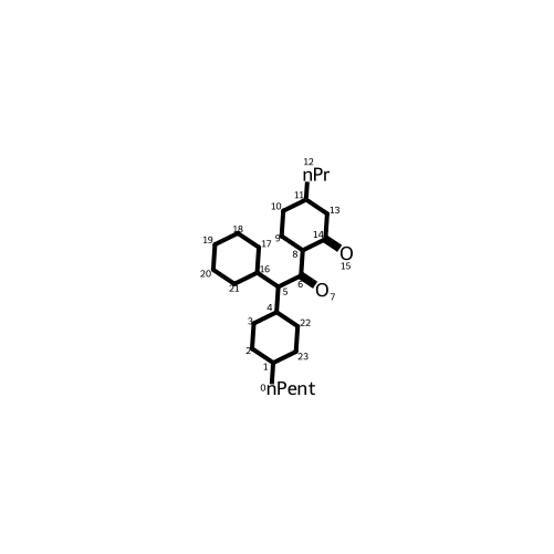 CCCCCC1CCC(C(C(=O)C2CCC(CCC)CC2=O)C2CCCCC2)CC1